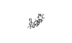 CC1(C)OC(=O)C(=C[NH+]([O-])c2cccnc2)C(=O)O1